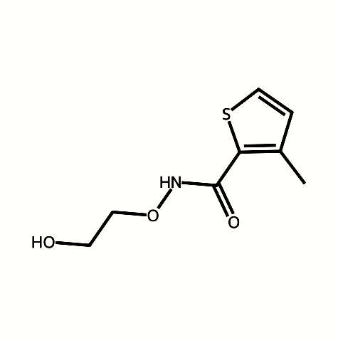 Cc1ccsc1C(=O)NOCCO